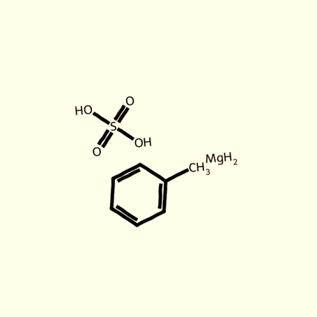 Cc1ccccc1.O=S(=O)(O)O.[MgH2]